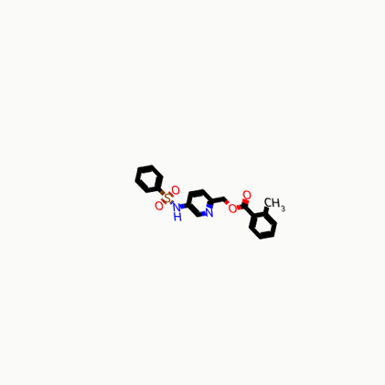 Cc1ccccc1C(=O)OCc1ccc(NS(=O)(=O)c2ccccc2)cn1